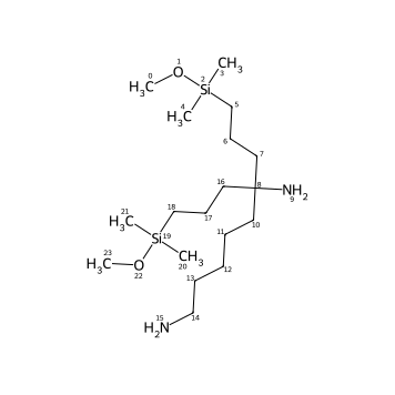 CO[Si](C)(C)CCCC(N)(CCCCCN)CCC[Si](C)(C)OC